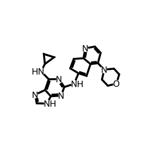 c1cc(N2CCOCC2)c2cc(Nc3nc(NC4CC4)c4nc[nH]c4n3)ccc2n1